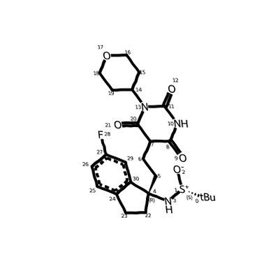 CC(C)(C)[S@@+]([O-])N[C@]1(CCC2C(=O)NC(=O)N(C3CCOCC3)C2=O)CCc2ccc(F)cc21